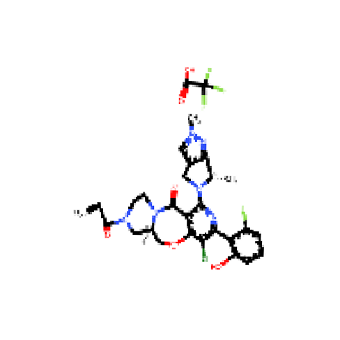 C=CC(=O)N1CCN2C(=O)c3c(N4Cc5cn(C)nc5[C@@H]4C)nc(-c4c(O)cccc4F)c(Cl)c3OC[C@H]2C1.O=C(O)C(F)(F)F